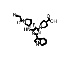 N#CCC(=O)N1CCC[C@@H](Nc2nc(-c3cnn4ccccc34)nc(N3CCC(C(=O)O)CC3)c2F)C1